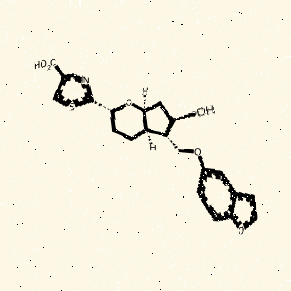 O=C(O)c1csc([C@H]2CC[C@@H]3[C@@H](COc4ccc5occc5c4)[C@H](O)C[C@@H]3O2)n1